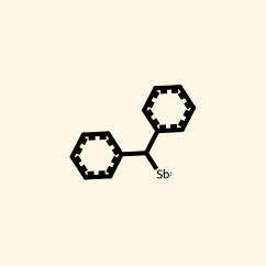 [Sb][CH](c1ccccc1)c1ccccc1